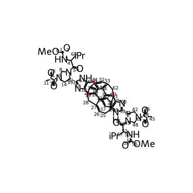 COC(=O)NC(C(=O)N1CN(S(C)(=O)=O)C[C@H]1c1nc2cc(C3=CC4=CCC=C3CCc3ccc(c(-c5ccc6[nH]c([C@@H]7CN(S(C)(=O)=O)CN7C(=O)C(NC(=O)OC)C(C)C)nc6c5)c3)CC4)ccc2[nH]1)C(C)C